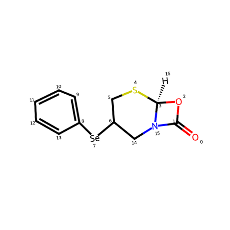 O=C1O[C@@H]2SCC([Se]c3ccccc3)CN12